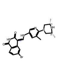 Cc1cc(N/C=C2\C(=O)NC(=O)c3ccc(Br)cc32)cnc1N1C[C@@H](C)N[C@@H](C)C1